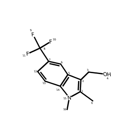 Cc1c(CO)c2cc(C(F)(F)F)ccc2n1C